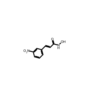 O=C(C=Cc1cccc([N+](=O)[O-])c1)NO